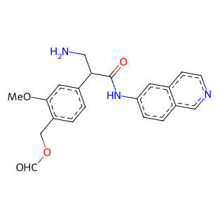 COc1cc(C(CN)C(=O)Nc2ccc3cnccc3c2)ccc1COC=O